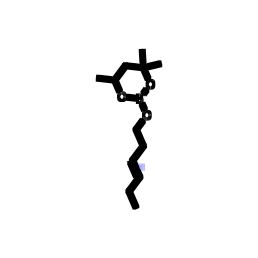 CC/C=C/CCOB1OC(C)CC(C)(C)O1